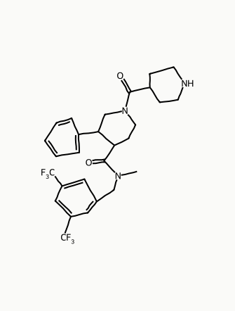 CN(Cc1cc(C(F)(F)F)cc(C(F)(F)F)c1)C(=O)C1CCN(C(=O)C2CCNCC2)CC1c1ccccc1